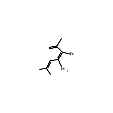 C=C(C)/C(=C(/N)C=C(C)C)C(C)C